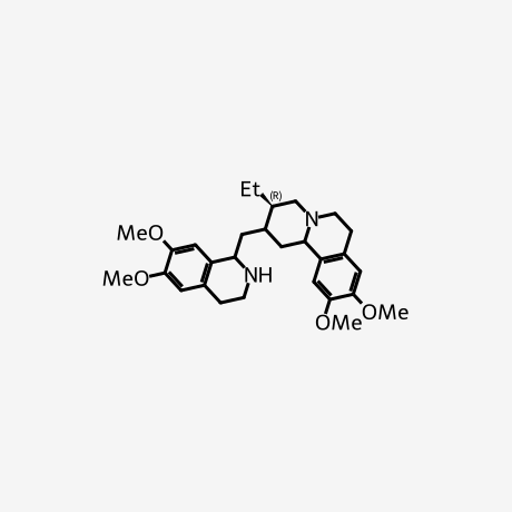 CC[C@H]1CN2CCc3cc(OC)c(OC)cc3C2CC1CC1NCCc2cc(OC)c(OC)cc21